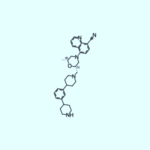 C[C@@H]1CN(c2ccc(C#N)c3ncccc23)C[C@H](CN2CCC(c3cccc(C4CCNCC4)c3)CC2)O1